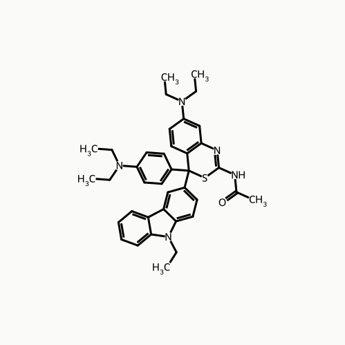 CCN(CC)c1ccc(C2(c3ccc4c(c3)c3ccccc3n4CC)SC(NC(C)=O)=Nc3cc(N(CC)CC)ccc32)cc1